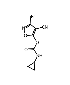 CC(C)c1noc(OC(=O)NC2CC2)c1C#N